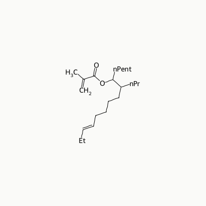 C=C(C)C(=O)OC(CCCCC)C(CCC)CCCC/C=C/CC